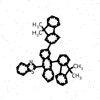 CC1(C)c2ccccc2-c2ccc(-c3ccc4c(-c5nc6ccccc6s5)c5ccccc5c(-c5cccc6c5-c5ccccc5C6(C)C)c4c3)cc21